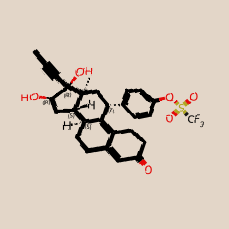 CC#C[C@@]1(O)[C@H](O)C[C@H]2[C@@H]3CCC4=CC(=O)CCC4=C3[C@@H](c3ccc(OS(=O)(=O)C(F)(F)F)cc3)C[C@@]21C